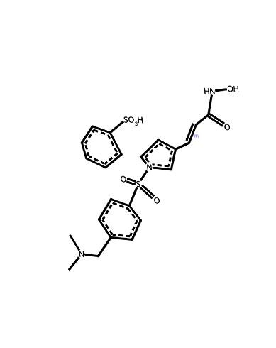 CN(C)Cc1ccc(S(=O)(=O)n2ccc(/C=C/C(=O)NO)c2)cc1.O=S(=O)(O)c1ccccc1